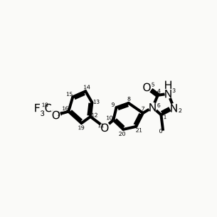 Cc1n[nH]c(=O)n1-c1ccc(Oc2cccc(OC(F)(F)F)c2)cc1